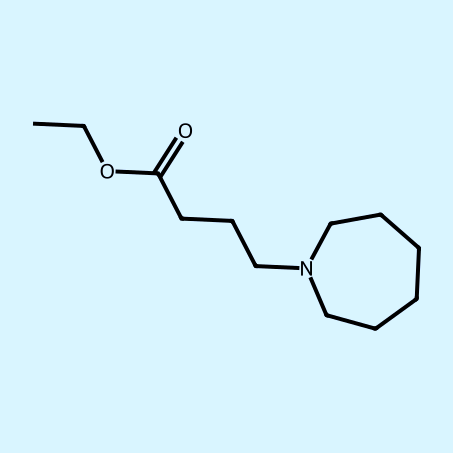 CCOC(=O)CCCN1CCCCCC1